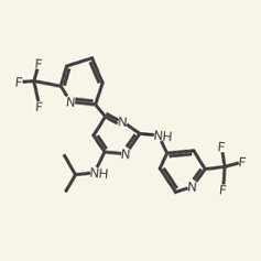 CC(C)Nc1cc(-c2cccc(C(F)(F)F)n2)nc(Nc2ccnc(C(F)(F)F)c2)n1